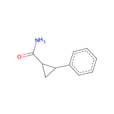 NC(=O)C1CC1c1ccccc1